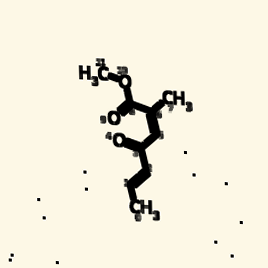 CC=CC(=O)C=C(C)C(=O)OC